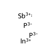 [In+3].[P-3].[P-3].[Sb+3]